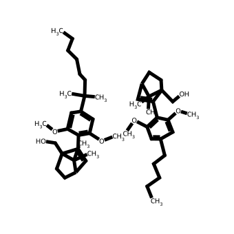 CCCCCCC(C)(C)c1cc(OC)c(C2=CC3CCC2(CO)C3(C)C)c(OC)c1.CCCCCc1cc(OC)c(C2=CC3CCC2(CO)C3(C)C)c(OC)c1